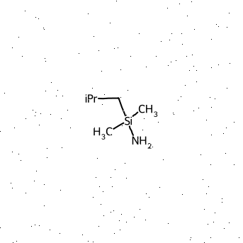 CC(C)C[Si](C)(C)N